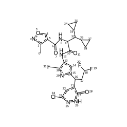 Cc1nocc1C(=O)NC(C(=O)Nc1cn(C(CC(F)F)c2cc(Cl)n[nH]c2=O)nc1F)C(C1CC1)C1CC1